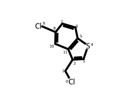 ClCc1csc2ccc(Cl)cc12